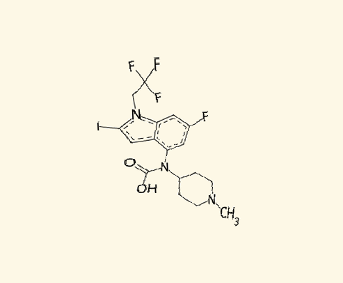 CN1CCC(N(C(=O)O)c2cc(F)cc3c2cc(I)n3CC(F)(F)F)CC1